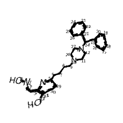 ON=Cc1nc(CCCCN2CCN(C(c3ccccc3)c3ccccc3)CC2)ccc1O